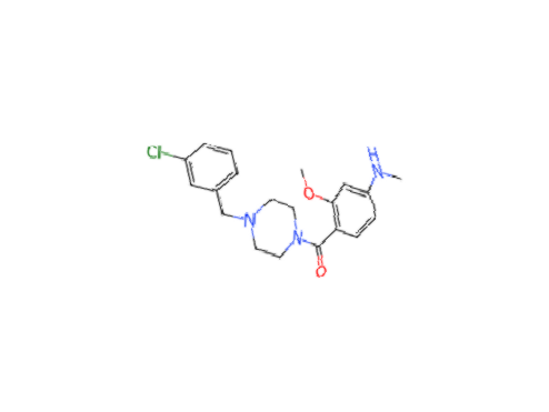 CNc1ccc(C(=O)N2CCN(Cc3cccc(Cl)c3)CC2)c(OC)c1